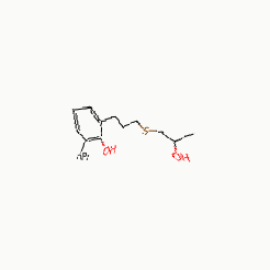 CCCc1cccc(CCCSCC(C)O)c1O